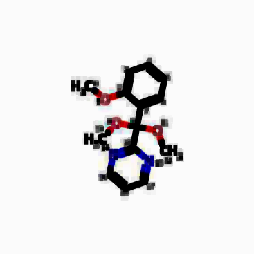 COc1ccccc1C(OC)(OC)c1ncccn1